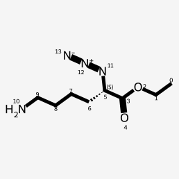 CCOC(=O)[C@H](CCCCN)N=[N+]=[N-]